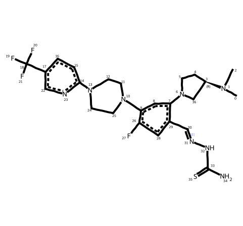 CN(C)[C@@H]1CCN(c2cc(N3CCN(c4ccc(C(F)(F)F)cn4)CC3)c(F)cc2/C=N/NC(N)=S)C1